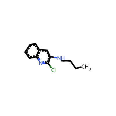 CCCCNc1cc2ccccc2nc1Cl